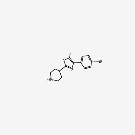 Cc1sc(C2CCNCC2)nc1-c1ccc(Br)cc1